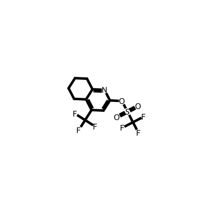 O=S(=O)(Oc1cc(C(F)(F)F)c2c(n1)CCCC2)C(F)(F)F